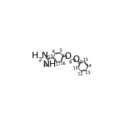 N=C(N)c1ccc(OCOc2ccccc2)cc1